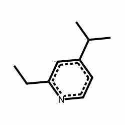 CCc1[c]c(C(C)C)ccn1